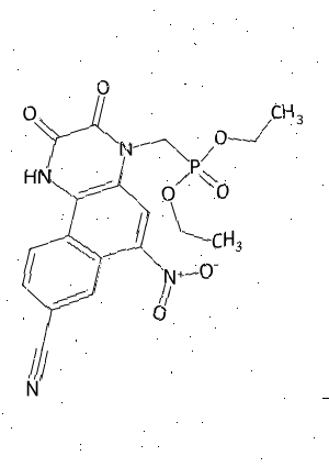 CCOP(=O)(Cn1c(=O)c(=O)[nH]c2c3ccc(C#N)cc3c([N+](=O)[O-])cc21)OCC